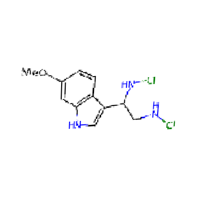 COc1ccc2c(C(CNCl)NCl)c[nH]c2c1